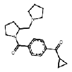 O=C(c1ccc(C(=O)N2CCCC2CN2CCCC2)cc1)C1CC1